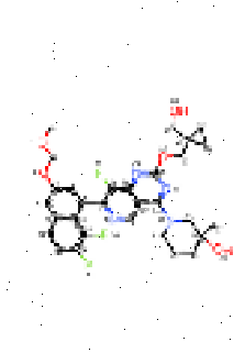 COCOc1cc(-c2ncc3c(N4CCC[C@@](C)(O)C4)nc(OCC4(CO)CC4)nc3c2F)c2c(F)c(F)ccc2c1